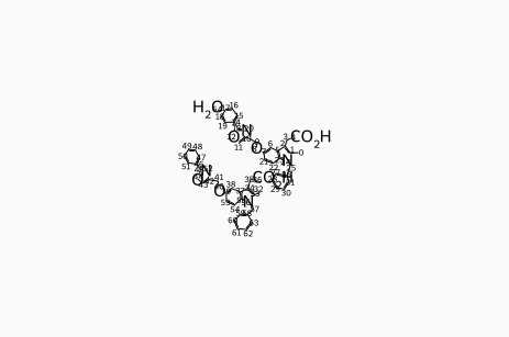 Cc1c(CC(=O)O)c2cc(OCc3coc(-c4ccccc4)n3)ccc2n1Cc1ccccc1.Cc1c(CC(=O)O)c2cc(OCc3coc(-c4ccccc4)n3)ccc2n1Cc1ccccc1.O